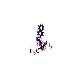 CCc1coc(C)c1C(=O)Nc1nnc(N2CCC(N3CCCCC3)CC2)s1